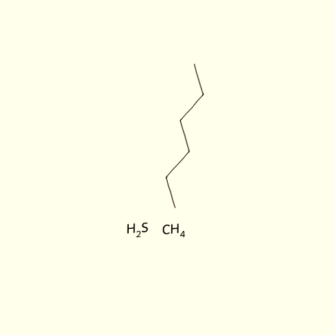 C.CCCCCC.S